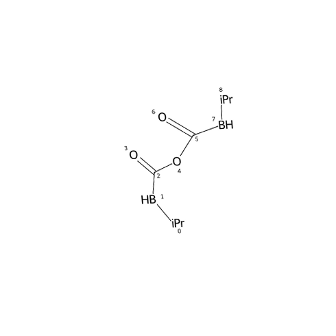 CC(C)BC(=O)OC(=O)BC(C)C